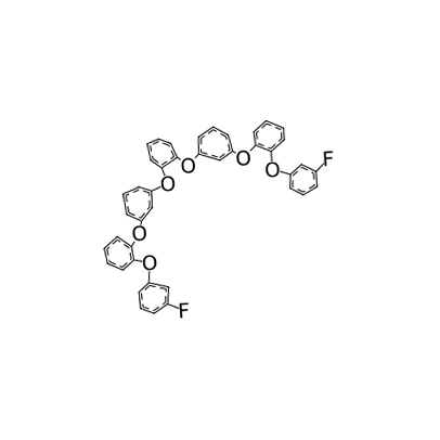 Fc1cccc(Oc2ccccc2Oc2cccc(Oc3ccccc3Oc3cccc(Oc4ccccc4Oc4cccc(F)c4)c3)c2)c1